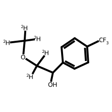 [2H]C([2H])([2H])OC([2H])([2H])C(O)c1ccc(C(F)(F)F)cc1